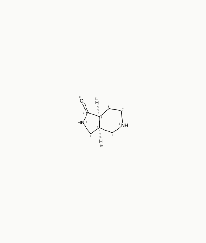 O=C1NC[C@@H]2CNCC[C@H]12